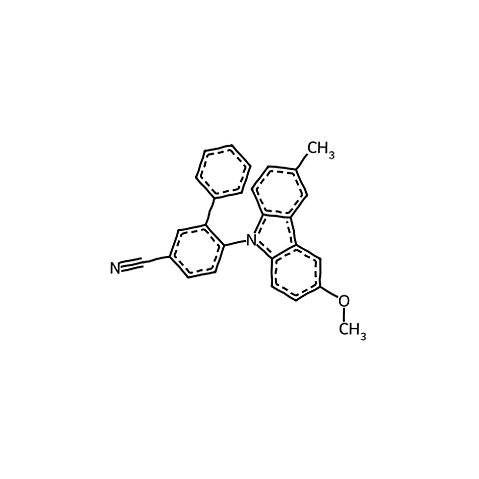 COc1ccc2c(c1)c1cc(C)ccc1n2-c1ccc(C#N)cc1-c1ccccc1